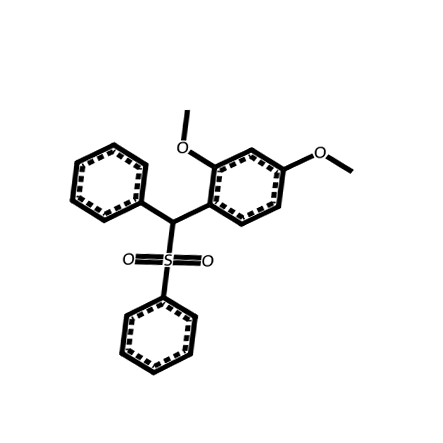 COc1ccc(C(c2ccccc2)S(=O)(=O)c2ccccc2)c(OC)c1